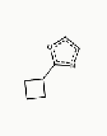 [c]1coc(C2CCC2)n1